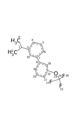 CC(C)c1cccc(-c2cccc(OC(F)(F)F)c2)c1